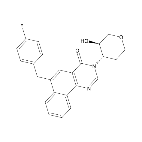 O=c1c2cc(Cc3ccc(F)cc3)c3ccccc3c2ncn1[C@H]1CCOC[C@@H]1O